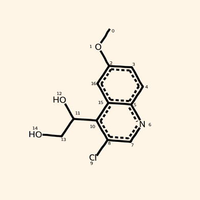 COc1ccc2ncc(Cl)c(C(O)CO)c2c1